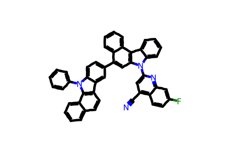 N#Cc1cc(-n2c3ccccc3c3c4ccccc4c(-c4ccc5c(c4)c4ccc6ccccc6c4n5-c4ccccc4)cc32)nc2cc(F)ccc12